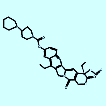 CCc1c2c(nc3ccc(OC(=O)N4CCC(N5CCCCC5)CC4)cc13)-c1cc3c(c(=O)n1C2)COC(=O)[C@@]3(CC)OC=O